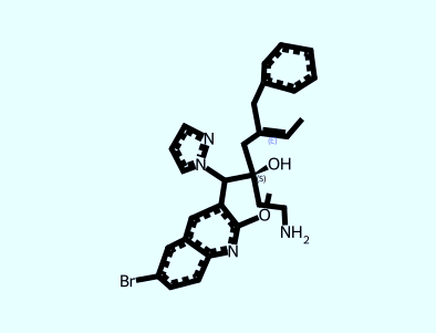 C/C=C(\Cc1ccccc1)C[C@](O)(CCN)C(c1cc2cc(Br)ccc2nc1OC)n1cccn1